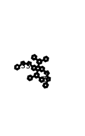 C1=CCC(c2ccc(-c3ccc(-c4ccc5c(-c6cc(-c7ccccc7)cc(-c7ccccc7)c6)c6cc(-c7ccc(-c8ccc(-c9ccccc9)s8)s7)ccc6c(-c6cc(-c7ccccc7)cc(-c7ccccc7)c6)c5c4)s3)s2)C=C1